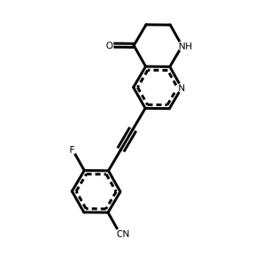 N#Cc1ccc(F)c(C#Cc2cnc3c(c2)C(=O)CCN3)c1